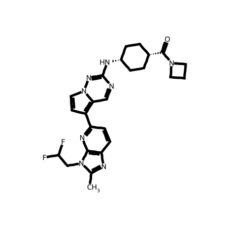 Cc1nc2ccc(-c3ccn4nc(N[C@H]5CC[C@@H](C(=O)N6CCC6)CC5)ncc34)nc2n1CC(F)F